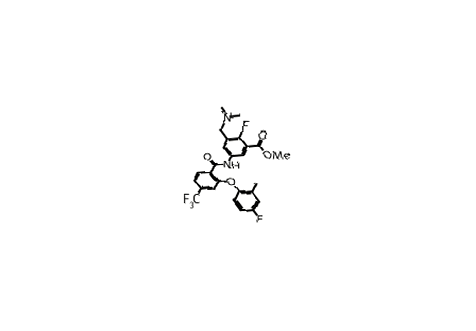 COC(=O)c1cc(NC(=O)c2ccc(C(F)(F)F)cc2Oc2ccc(F)cc2C)cc(CN(C)C)c1F